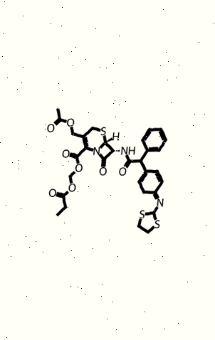 CCC(=O)OCOC(=O)C1=C(COC(C)=O)CS[C@@H]2[C@H](NC(=O)C(C3=CCC(=NC4SCCS4)C=C3)c3ccccc3)C(=O)N12